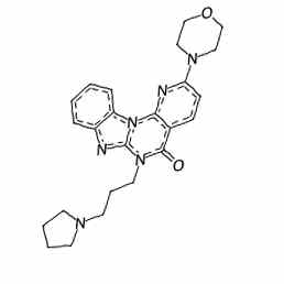 O=c1c2ccc(N3CCOCC3)nc2n2c3ccccc3nc2n1CCCN1CCCC1